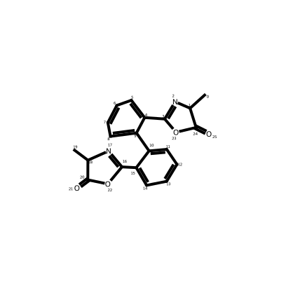 CC1N=C(c2ccccc2-c2ccccc2C2=NC(C)C(=O)O2)OC1=O